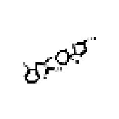 O=C(O)N(Cc1ccccc1F)C[C@H]1CC[C@@](O)(c2ccc(O)cn2)CC1